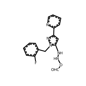 O=CONNc1cc(-c2ccccn2)nn1Cc1ccccc1F